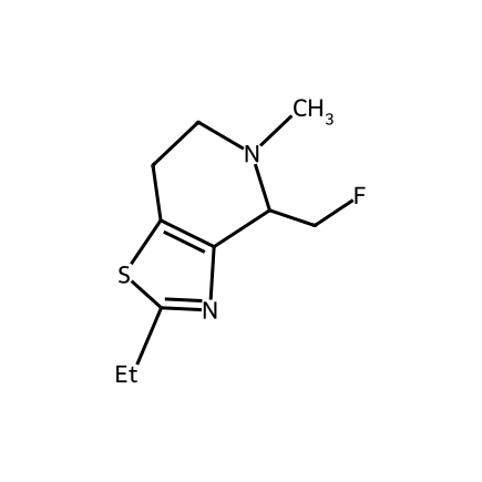 CCc1nc2c(s1)CCN(C)C2CF